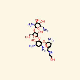 NC[C@@H]1O[C@H](O[C@H]2[C@@H](O)[C@H](O[C@@H]3[C@@H](O)[C@H](N)C[C@H](N)[C@H]3O[C@H]3OC(CNCCO)=CC[C@H]3N)O[C@@H]2CO)[C@H](N)[C@@H](O)[C@@H]1O